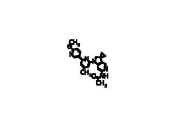 COc1ccc(-c2cc(C)cc(N3CC4(CC4)c4cnc(NC(C)=O)cc43)n2)cn1